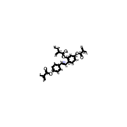 C=C(C)C(=O)Oc1ccc(/C=C/c2ccc(OC(=O)C(=C)C)cc2OC(=O)C(=C)CC)cc1